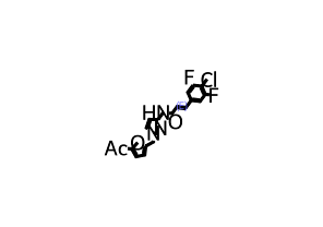 CC(=O)c1ccc(Cn2ccc(NC(=O)/C=C/c3cc(F)c(Cl)c(F)c3)n2)o1